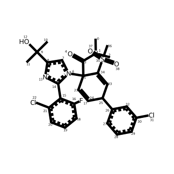 CN(C)C(=O)C1(n2cc(C(C)(C)O)nc2-c2c(F)cccc2Cl)C=CC(c2cccc(Cl)c2)C=C1S(C)(=O)=O